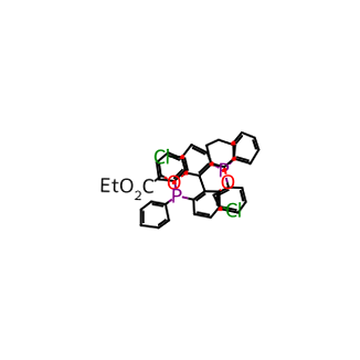 CCOC(=O)COc1c(Cl)ccc(P(c2ccccc2)c2ccccc2)c1-c1c(P(c2ccccc2)c2ccccc2)ccc(Cl)c1OC1CCCCC1